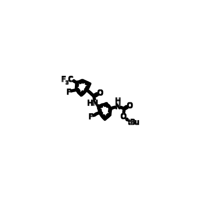 CC(C)(C)OC(=O)Nc1ccc(F)c(NC(=O)c2ccc(C(F)(F)F)c(F)c2)c1